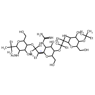 CC/C(=C1\OC(CO)C(OC(C)(CC)C2(CC)NC3C(O)C(OC(C)(C)CC)C(CO)OC32)C(O)C1NC(=N)N)C(C)(CC)OC1C(CO)OC(C(C)(C)CC)C(NC(C)=O)C1O